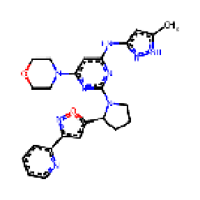 Cc1cc(Nc2cc(N3CCOCC3)nc(N3CCC[C@H]3c3cc(-c4ccccn4)no3)n2)n[nH]1